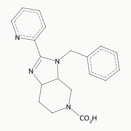 O=C(O)N1CCC2N=C(c3ccccn3)N(Cc3ccccc3)C2C1